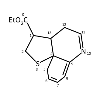 CCOC(=O)C1CSC23CC=CC=C2N=CCC13